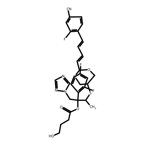 CC(SC1COC(C=CC=Cc2ccc(C#N)cc2F)OC1)C(Cn1cncn1)(OC(=O)CCCO)c1ccc(F)cc1F